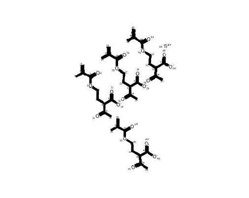 C=C(C)C(=O)OCCC(C(C)=O)C(=O)[O-].C=C(C)C(=O)OCCC(C(C)=O)C(=O)[O-].C=C(C)C(=O)OCCC(C(C)=O)C(=O)[O-].C=C(C)C(=O)OCCC(C(C)=O)C(=O)[O-].[Ti+4]